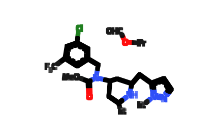 CC(C)OC=O.CCC1CC(N(Cc2cc(Cl)cc(C(F)(F)F)c2)C(=O)OC)CC(Cc2ccnn2CC)N1